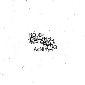 CC(=O)N[C@H]1CCC(=O)N2CCC[C@@H](C(=O)N[C@@H](CC(=O)O)C(=O)CSc3ncccn3)N2C1=O